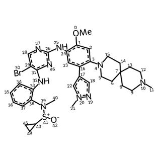 COc1cc(N2CCC3(CCN(C)CC3)CC2)c(-c2cnn(C)c2)cc1Nc1ncc(Br)c(Nc2ccccc2N(C)[S+]([O-])C2CC2)n1